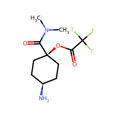 CN(C)C(=O)[C@]1(OC(=O)C(F)(F)F)CC[C@@H](N)CC1